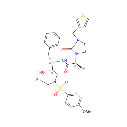 COc1ccc(S(=O)(=O)N(CC(C)C)C[C@H](O)[C@H](Cc2ccccc2)NC(=O)[C@H](C(C)C)N2CCN(Cc3ccsc3)C2=O)cc1